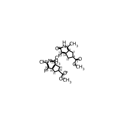 COC(=O)C1Cc2c(C)[nH]c(=O)c(F)c2C1.COC(=O)C1Cc2c(C)nc(Cl)c(F)c2C1